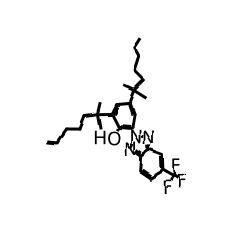 CCCCCC(C)(C)c1cc(-n2nc3ccc(C(F)(F)F)cc3n2)c(O)c(C(C)(C)CCCCC)c1